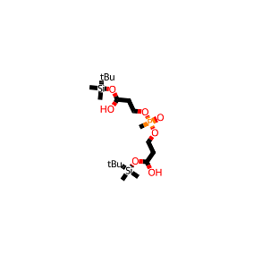 CC(C)(C)[Si](C)(C)OC(O)CCOP(C)(=O)OCCC(O)O[Si](C)(C)C(C)(C)C